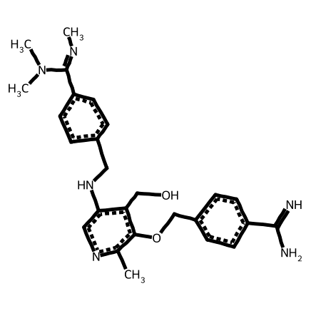 C/N=C(/c1ccc(CNc2cnc(C)c(OCc3ccc(C(=N)N)cc3)c2CO)cc1)N(C)C